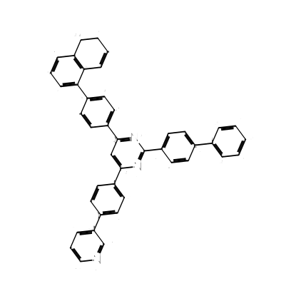 C1=Cc2c(cccc2-c2ccc(-c3cc(-c4ccc(-c5cccnc5)cc4)nc(-c4ccc(-c5ccccc5)cc4)n3)cc2)CC1